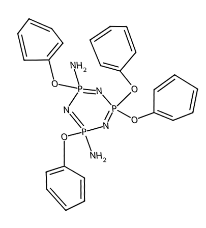 NP1(Oc2ccccc2)=NP(N)(Oc2ccccc2)=NP(Oc2ccccc2)(Oc2ccccc2)=N1